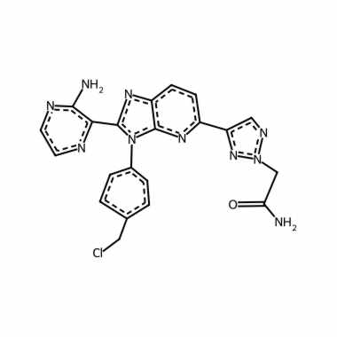 NC(=O)Cn1ncc(-c2ccc3nc(-c4nccnc4N)n(-c4ccc(CCl)cc4)c3n2)n1